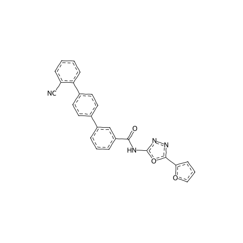 N#Cc1ccccc1-c1ccc(-c2cccc(C(=O)Nc3nnc(-c4ccco4)o3)c2)cc1